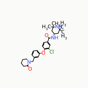 CC1(C)CC(NC(=O)c2ccc(Oc3cccc(CN4CCCCC4=O)c3)c(Cl)c2)CC(C)(C)N1